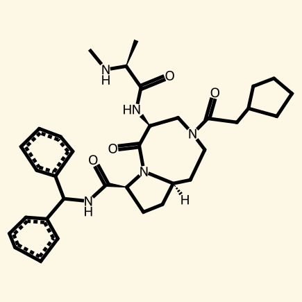 CN[C@@H](C)C(=O)N[C@H]1CN(C(=O)CC2CCCC2)CC[C@H]2CC[C@@H](C(=O)NC(c3ccccc3)c3ccccc3)N2C1=O